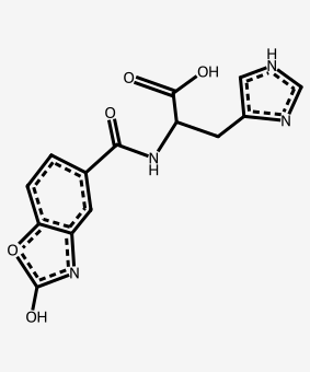 O=C(NC(Cc1c[nH]cn1)C(=O)O)c1ccc2oc(O)nc2c1